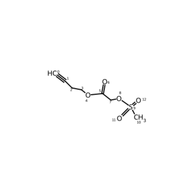 C#CCCOC(=O)COS(C)(=O)=O